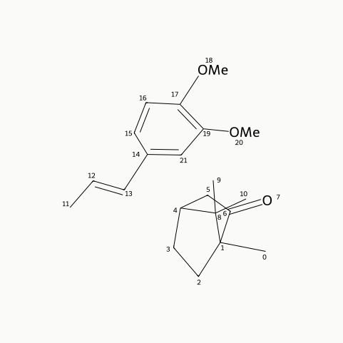 CC12CCC(CC1=O)C2(C)C.CC=Cc1ccc(OC)c(OC)c1